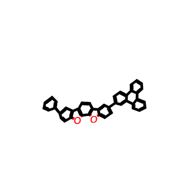 c1ccc(-c2ccc3oc4c(ccc5c6cc(-c7ccc8c9ccccc9c9ccccc9c8c7)ccc6oc54)c3c2)cc1